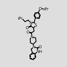 CCCOc1ccc(C2SC(CC(=O)N3CCC(N4Cc5ccccc5NC4=O)CC3)C(=O)N2CCC(C)C)cc1